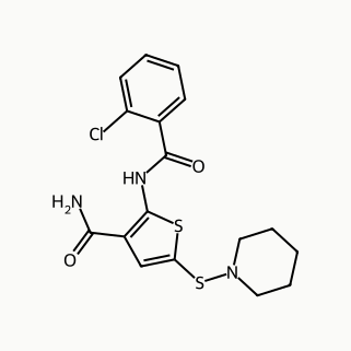 NC(=O)c1cc(SN2CCCCC2)sc1NC(=O)c1ccccc1Cl